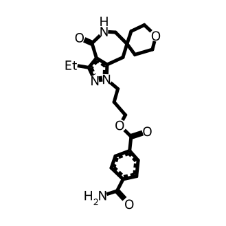 CCc1nn(CCCOC(=O)c2ccc(C(N)=O)cc2)c2c1C(=O)NCC1(CCOCC1)C2